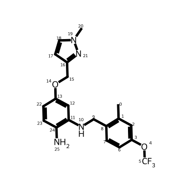 Cc1cc(OC(F)(F)F)ccc1CNc1cc(OCc2ccn(C)n2)ccc1N